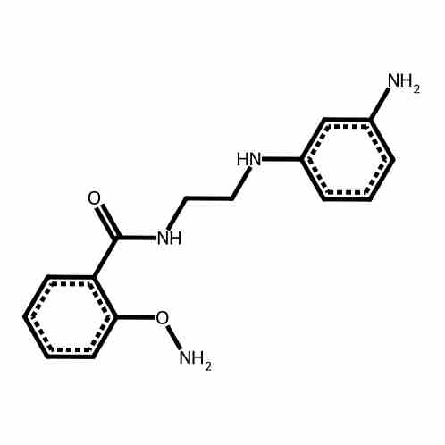 NOc1ccccc1C(=O)NCCNc1cccc(N)c1